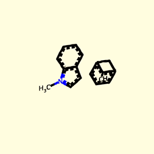 Cc1c2cccc1C2.Cn1ccc2ccccc21